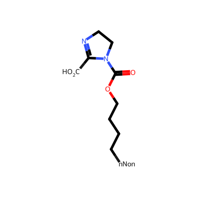 CCCCCCCCCCCCCOC(=O)N1CCN=C1C(=O)O